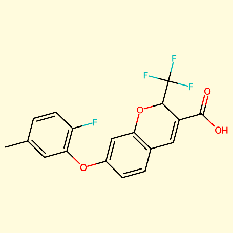 Cc1ccc(F)c(Oc2ccc3c(c2)OC(C(F)(F)F)C(C(=O)O)=C3)c1